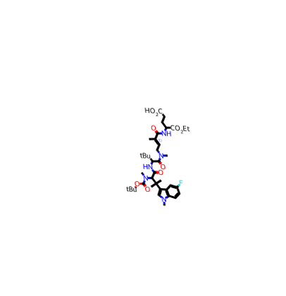 CCOC(=O)C(CCC(=O)O)NC(=O)/C(C)=C/CN(C)C(=O)C(NC(=O)C(N(C)C(=O)OC(C)(C)C)C(C)(C)c1cn(C)c2ccc(F)cc12)C(C)(C)C